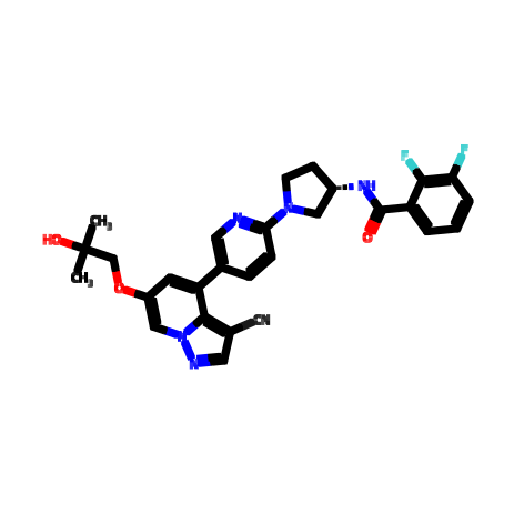 CC(C)(O)COc1cc(-c2ccc(N3CC[C@H](NC(=O)c4cccc(F)c4F)C3)nc2)c2c(C#N)cnn2c1